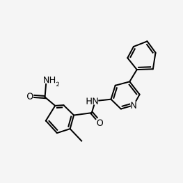 Cc1ccc(C(N)=O)cc1C(=O)Nc1cncc(-c2ccccc2)c1